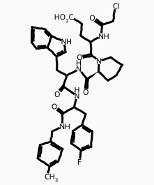 Cc1ccc(CNC(=O)C(Cc2ccc(F)cc2)NC(=O)C(Cc2c[nH]c3ccccc23)NC(=O)[C@@H]2CCCCN2C(=O)C(CCC(=O)O)NC(=O)CCl)cc1